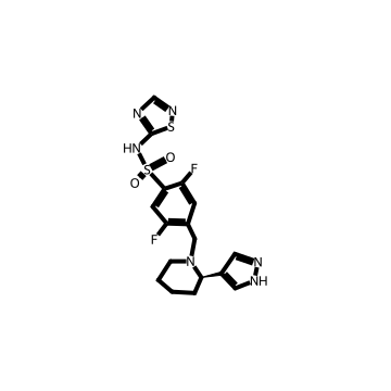 O=S(=O)(Nc1ncns1)c1cc(F)c(CN2CCCC[C@@H]2c2cn[nH]c2)cc1F